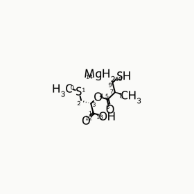 CSC[C@H](OC(=O)[C@H](C)CS)C(=O)O.[MgH2]